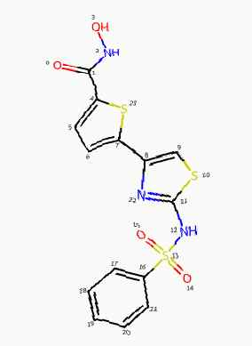 O=C(NO)c1ccc(-c2csc(NS(=O)(=O)c3ccccc3)n2)s1